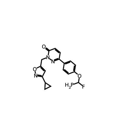 O=c1ccc(-c2ccc(OC(F)P)cc2)nn1Cc1cc(C2CC2)no1